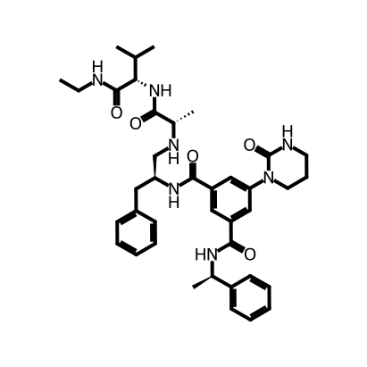 CCNC(=O)[C@@H](NC(=O)[C@H](C)NC[C@H](Cc1ccccc1)NC(=O)c1cc(C(=O)N[C@H](C)c2ccccc2)cc(N2CCCNC2=O)c1)C(C)C